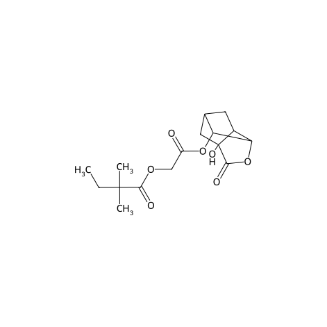 CCC(C)(C)C(=O)OCC(=O)OC1C2CC3C1OC(=O)C3(O)C2